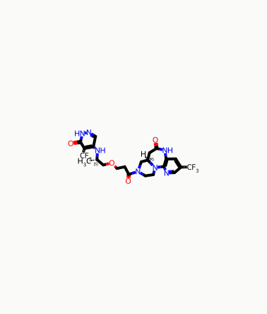 C[C@@H](COCCC(=O)N1CCN2c3ncc(C(F)(F)F)cc3NC(=O)C[C@@H]2C1)Nc1cn[nH]c(=O)c1C(F)(F)F